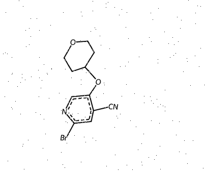 N#Cc1cc(Br)ncc1OC1CCOCC1